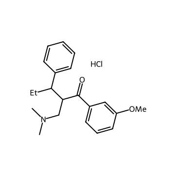 CCC(c1ccccc1)C(CN(C)C)C(=O)c1cccc(OC)c1.Cl